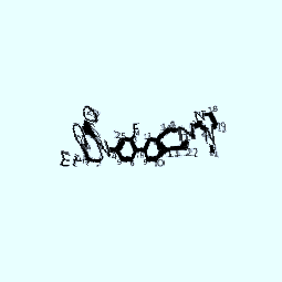 CC[C@H]1CN(c2ccc(-c3ccc4c(c3)CN(c3nccn3C)C4)c(F)c2)C(=O)O1